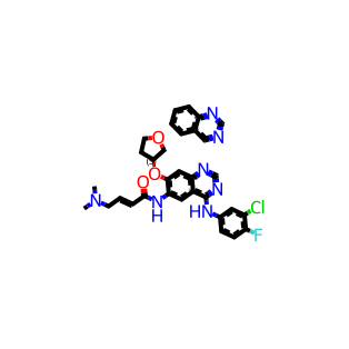 CN(C)CC=CC(=O)Nc1cc2c(Nc3ccc(F)c(Cl)c3)ncnc2cc1O[C@H]1CCOC1.c1ccc2ncncc2c1